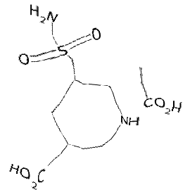 CC(=O)O.NS(=O)(=O)C1CNCC(C(=O)O)C1